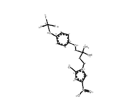 CC(O)(CCn1cc([N+](=O)[O-])nc1Cl)COc1ccc(OC(F)(F)F)cc1